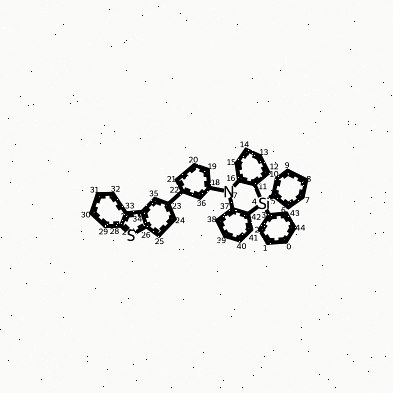 c1ccc([Si]2(c3ccccc3)c3ccccc3N(c3cccc(-c4ccc5sc6ccccc6c5c4)c3)c3ccccc32)cc1